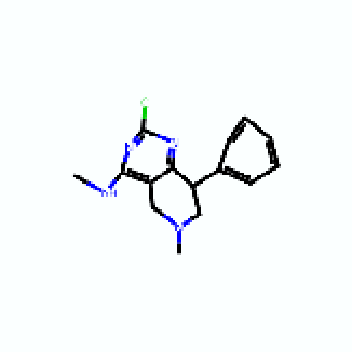 CNc1nc(Cl)nc2c1CN(C)CC2c1ccccc1